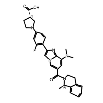 C[C@@H]1c2ccccc2CCN1C(=O)c1cc(N(C)C)c2nc(-c3ccc(N4CC[C@H](C(=O)O)C4)cc3F)cn2c1